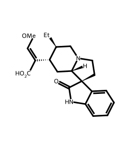 CC[C@H]1CN2CC[C@@]3(C(=O)Nc4ccccc43)[C@@H]2C[C@@H]1/C(=C\OC)C(=O)O